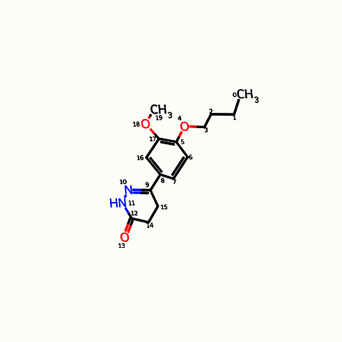 CCCCOc1ccc(C2=NNC(=O)CC2)cc1OC